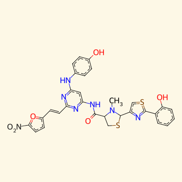 CN1C(C(=O)Nc2cc(Nc3ccc(O)cc3)nc(/C=C/c3ccc([N+](=O)[O-])o3)n2)CSC1c1csc(-c2ccccc2O)n1